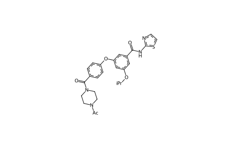 CC(=O)N1CCN(C(=O)c2ccc(Oc3cc(OC(C)C)cc(C(=O)Nc4nccs4)c3)cc2)CC1